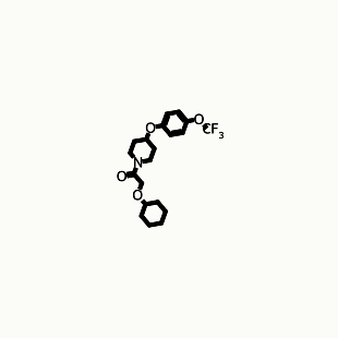 O=C(COC1CCCCC1)N1CCC(Oc2ccc(OC(F)(F)F)cc2)CC1